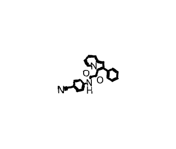 N#Cc1ccc(NC(=O)C(=O)c2c(-c3ccccc3)cc3ccccn23)cc1